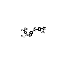 Cc1cc(-c2nc(-c3ccc4c(c3)CCC4N(C)[C@H]3C[C@H](C(=O)O)C3)no2)ccc1-c1ccsc1